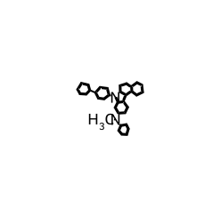 CN(c1ccccc1)c1ccc2c3c4ccccc4ccc3n(-c3ccc(-c4ccccc4)cc3)c2c1